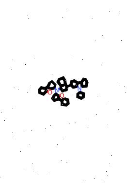 C1=c2c(oc3ccccc23)=C(N(c2ccc(-c3ccc4c5ccccc5n(-c5ccccc5)c4c3)c3ccccc23)c2cccc3c2oc2ccccc23)CC1